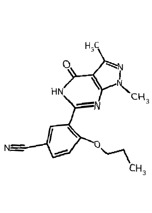 CCCOc1ccc(C#N)cc1-c1nc2c(c(C)nn2C)c(=O)[nH]1